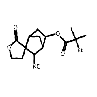 [C-]#[N+]C1C2CC(CC2OC(=O)C(C)(C)CC)C12CCOC2=O